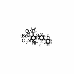 CC(C)(C)OC(=O)N1CCCC1c1cc([N+](=O)[O-])c(N)cc1Oc1ccc(-c2ccccc2F)cc1